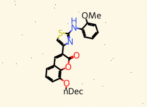 CCCCCCCCCCOc1cccc2cc(-c3csc(Nc4ccccc4OC)n3)c(=O)oc12